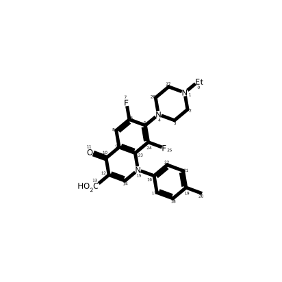 CCN1CCN(c2c(F)cc3c(=O)c(C(=O)O)cn(-c4ccc(C)cc4)c3c2F)CC1